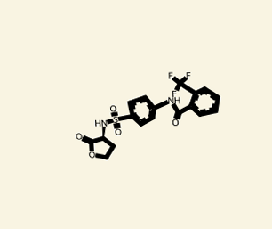 O=C(Nc1ccc(S(=O)(=O)N[C@H]2CCOC2=O)cc1)c1ccccc1C(F)(F)F